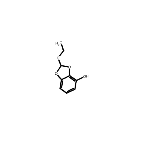 CCOC1Oc2cccc(O)c2O1